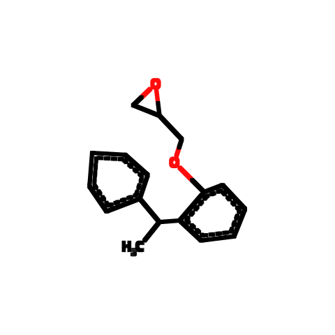 CC(c1ccccc1)c1ccccc1OCC1CO1